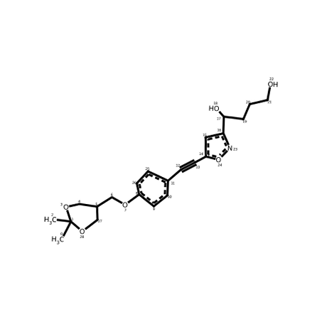 CC1(C)OCC(COc2ccc(C#Cc3cc(C(O)CCCO)no3)cc2)CO1